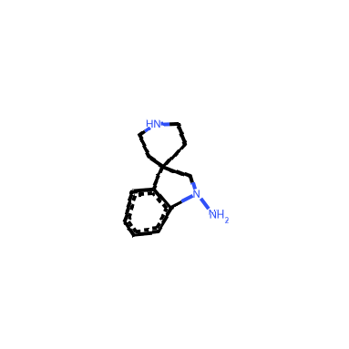 NN1CC2(CCNCC2)c2ccccc21